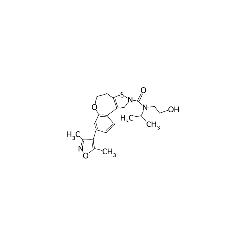 Cc1noc(C)c1-c1ccc2c(c1)OCCC1=C2CN(C(=O)N(CCO)C(C)C)S1